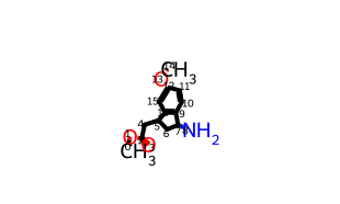 COC(=O)CC1CC(N)c2ccc(OC)cc21